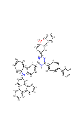 c1ccc(-c2ccc(-c3nc(-c4ccc5oc6ccccc6c5c4)nc(-c4ccc5c(c4)c4ccccc4n5-c4ccc5c6ccccc6c6ccccc6c5c4)n3)cc2)cc1